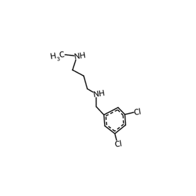 CNCCCNCc1cc(Cl)cc(Cl)c1